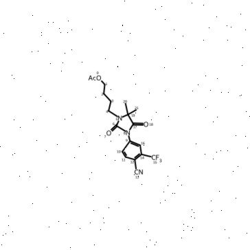 CC(=O)OCCCCN1C(=O)N(c2ccc(C#N)c(C(F)(F)F)c2)C(=O)C1(C)C